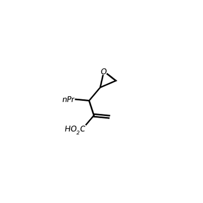 C=C(C(=O)O)C(CCC)C1CO1